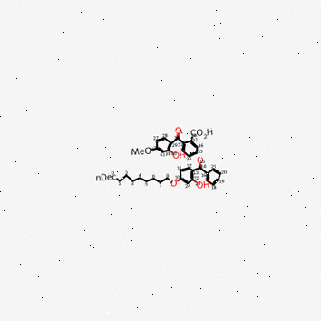 CCCCCCCCCCCCCCCCCCOc1ccc(C(=O)c2ccccc2)c(O)c1.COc1ccc(C(=O)c2ccccc2C(=O)O)c(O)c1